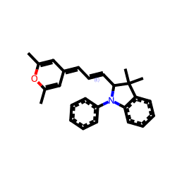 CC1=CC(=C/C=C/C2N(c3ccccc3)c3ccccc3C2(C)C)C=C(C)O1